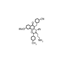 COc1ccc2c(=O)c(Cc3cccc(C#N)c3)c(C(C(C)C)N(CCCN)C(=O)c3ccc(C)cc3)oc2c1